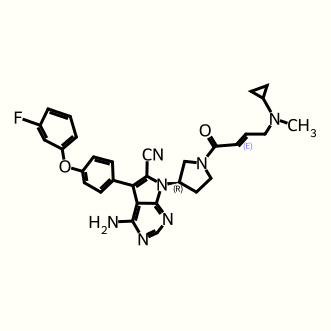 CN(C/C=C/C(=O)N1CC[C@@H](n2c(C#N)c(-c3ccc(Oc4cccc(F)c4)cc3)c3c(N)ncnc32)C1)C1CC1